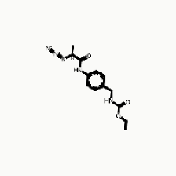 CCOC(=O)NCc1ccc(NC(=O)[C@H](C)N=[N+]=[N-])cc1